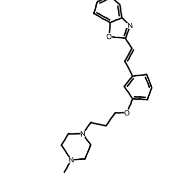 CN1CCN(CCCOc2cccc(C=Cc3nc4ccccc4o3)c2)CC1